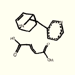 C1=CC2CCC1NC2c1cccnc1.O=C(O)/C=C/C(=O)O